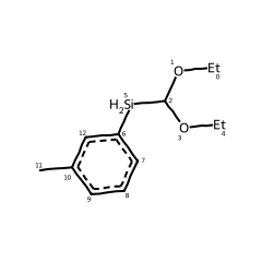 CCOC(OCC)[SiH2]c1cccc(C)c1